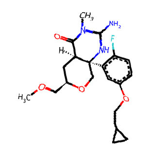 COC[C@H]1C[C@H]2C(=O)N(C)C(N)N[C@@]2(c2cc(OCC3CC3)ccc2F)CO1